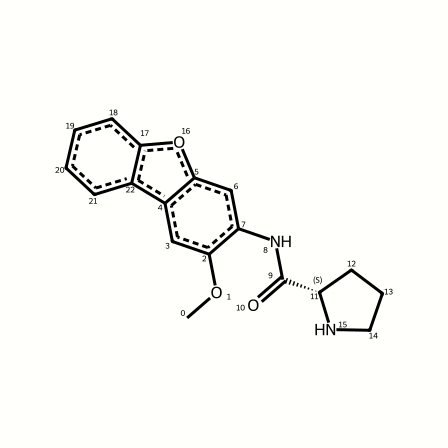 COc1cc2c(cc1NC(=O)[C@@H]1CCCN1)oc1ccccc12